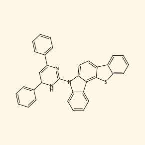 C1=C(c2ccccc2)N=C(n2c3ccccc3c3c4sc5ccccc5c4ccc32)NC1c1ccccc1